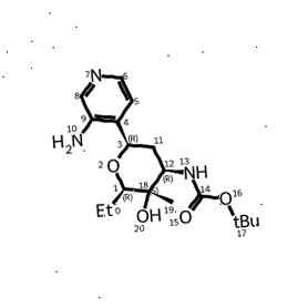 CC[C@H]1O[C@@H](c2ccncc2N)C[C@@H](NC(=O)OC(C)(C)C)[C@]1(C)O